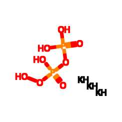 O=P(O)(O)OP(=O)(O)OO.[KH].[KH].[KH]